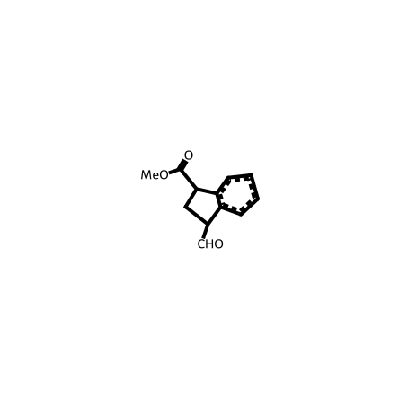 COC(=O)C1CC(C=O)c2ccccc21